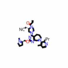 C=CC(=O)N1CCN(c2nc(OC[C@H]3CCCN3C)nc3c2CCCN(c2c(C)ccnc2C(C)C)C3)C[C@@H]1CC#N